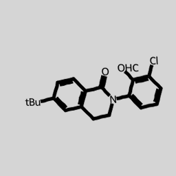 CC(C)(C)c1ccc2c(c1)CCN(c1cccc(Cl)c1C=O)C2=O